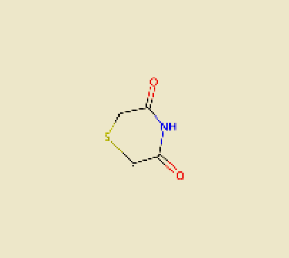 O=C1[CH]SCC(=O)N1